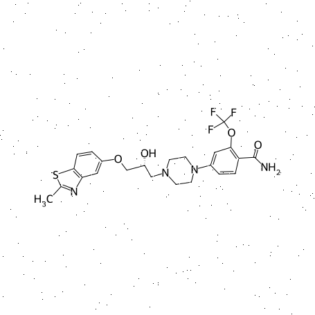 Cc1nc2cc(OC[C@H](O)CN3CCN(c4ccc(C(N)=O)c(OC(F)(F)F)c4)CC3)ccc2s1